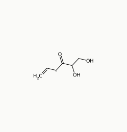 C=C[CH]C(=O)C(O)CO